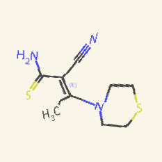 C/C(=C(/C#N)C(N)=S)N1CCSCC1